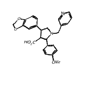 COc1ccc(C2C(C(=O)O)C(c3ccc4c(c3)OCO4)CN2Cc2cccnc2)cc1